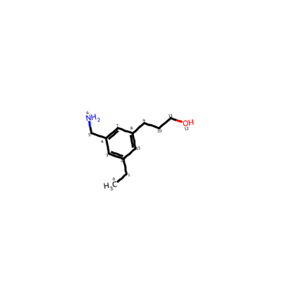 CCc1cc(CN)cc(CCCO)c1